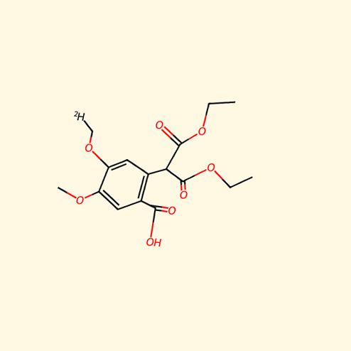 [2H]COc1cc(C(C(=O)OCC)C(=O)OCC)c(C(=O)O)cc1OC